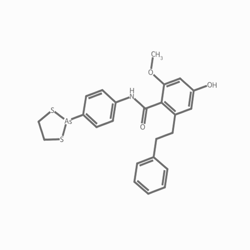 COc1cc(O)cc(CCc2ccccc2)c1C(=O)Nc1ccc([As]2SCCS2)cc1